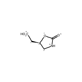 O=C(O)C[C@@H]1CNC(=O)O1